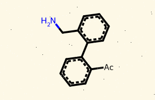 CC(=O)c1ccccc1-c1ccccc1CN